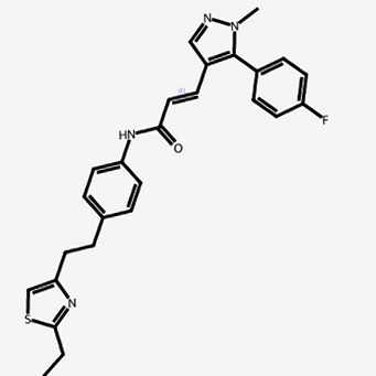 CCc1nc(CCc2ccc(NC(=O)/C=C/c3cnn(C)c3-c3ccc(F)cc3)cc2)cs1